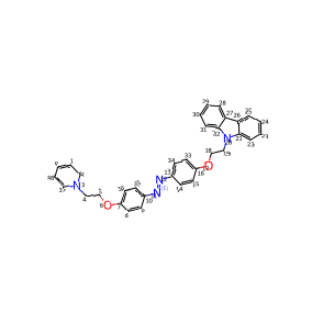 C1=CCN(CCOc2ccc(/N=N/c3ccc(OCCn4c5ccccc5c5ccccc54)cc3)cc2)C=C1